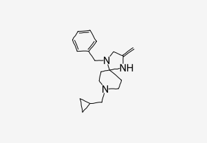 C=C1CN(Cc2ccccc2)C2(CCN(CC3CC3)CC2)N1